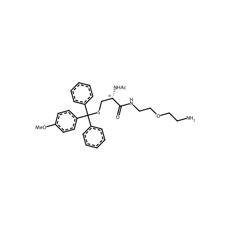 COc1ccc(C(SC[C@H](NC(C)=O)C(=O)NCCOCCN)(c2ccccc2)c2ccccc2)cc1